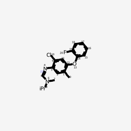 Cc1cc(/N=C\N(C)C(C)C)c(Cl)cc1Oc1ccccc1F